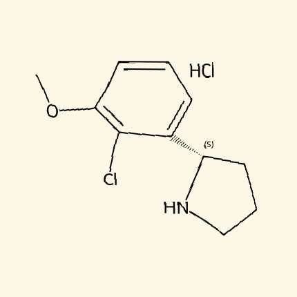 COc1cccc([C@@H]2CCCN2)c1Cl.Cl